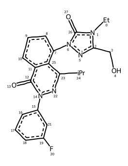 CCn1c(CO)nn(-c2cccc3c(=O)n(-c4cccc(F)c4)nc(C(C)C)c23)c1=O